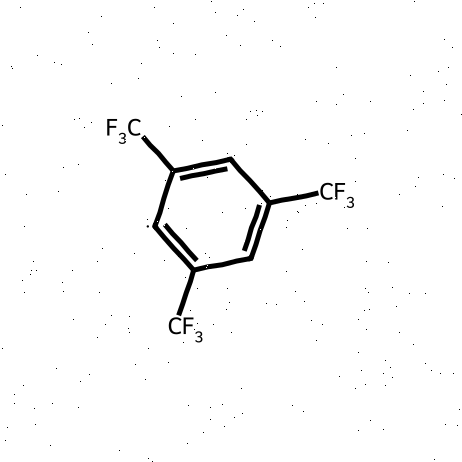 FC(F)(F)c1[c]c(C(F)(F)F)cc(C(F)(F)F)c1